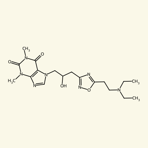 CCN(CC)CCc1nc(CC(O)Cn2cnc3c2c(=O)n(C)c(=O)n3C)no1